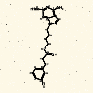 CCCCCCc1nc(N)c2ncn(CCCCCC(=O)CCc3cccc(Cl)c3)c2n1